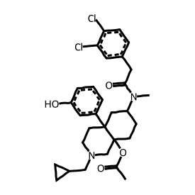 CC(=O)OC12CCC(N(C)C(=O)Cc3ccc(Cl)c(Cl)c3)CC1(c1cccc(O)c1)CCN(CC1CC1)C2